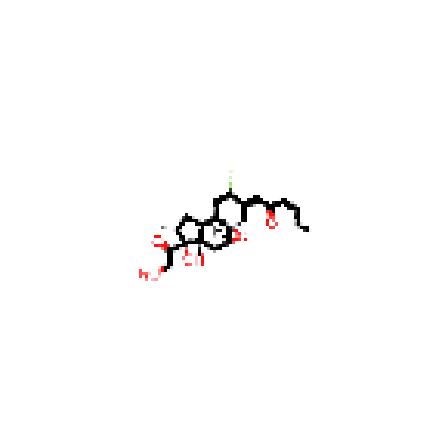 CC/C=C\C(=O)/C=C1\C[C@]23O[C@H]2C[C@@]2(C)C(C[C@@H](C)[C@]2(O)C(=O)CO)C3C[C@@H]1F